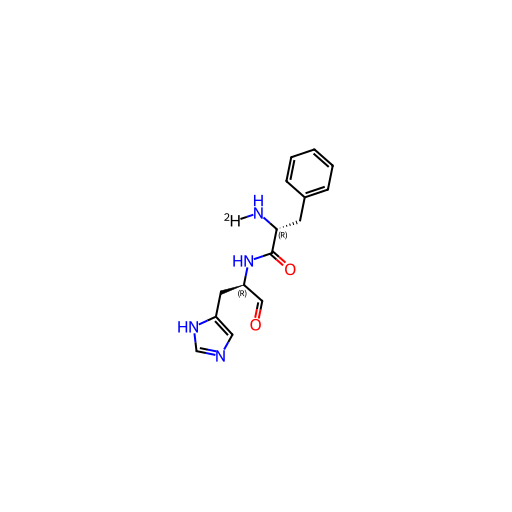 [2H]N[C@H](Cc1ccccc1)C(=O)N[C@@H](C=O)Cc1cnc[nH]1